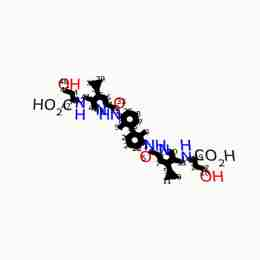 Cc1c(NC(=O)c2cc(C3CC3)c(CN[C@@H](CCO)C(=O)O)cn2)cccc1-c1cccc(NC(=O)c2cc(C3CC3)c(CN[C@@H](CCO)C(=O)O)cn2)c1C